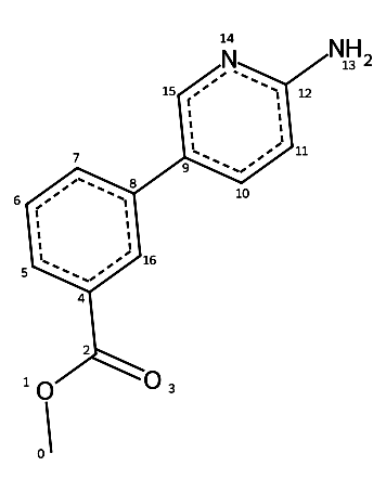 COC(=O)c1cccc(-c2ccc(N)nc2)c1